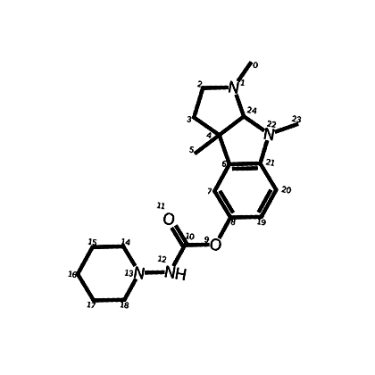 CN1CCC2(C)c3cc(OC(=O)NN4CCCCC4)ccc3N(C)C12